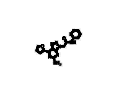 Nc1nc(-c2ccco2)c2nnn(CC(=O)Nc3ccccn3)c2n1